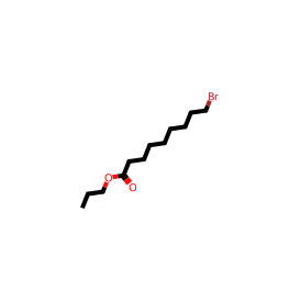 CCCOC(=O)CCCCCCCCBr